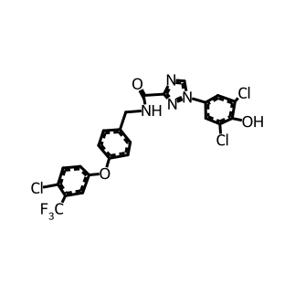 O=C(NCc1ccc(Oc2ccc(Cl)c(C(F)(F)F)c2)cc1)c1ncn(-c2cc(Cl)c(O)c(Cl)c2)n1